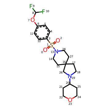 O=S(=O)(c1ccc(OC(F)F)cc1)N1CCC2(CCN(C3CCOCC3)C2)CC1